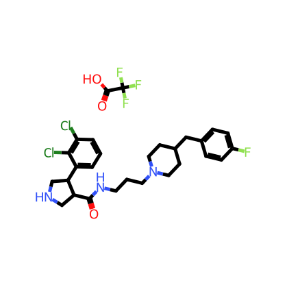 O=C(NCCCN1CCC(Cc2ccc(F)cc2)CC1)C1CNCC1c1cccc(Cl)c1Cl.O=C(O)C(F)(F)F